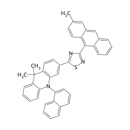 Cc1ccc2c(-c3nsc(-c4ccc5c(c4)N(c4cccc6ccccc46)c4ccccc4C5(C)C)n3)c3ccccc3cc2c1